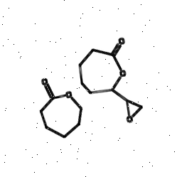 O=C1CCCCC(C2CO2)O1.O=C1CCCCCO1